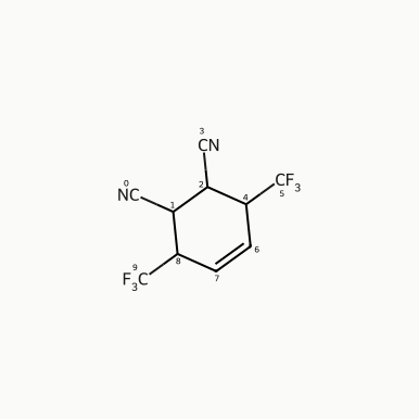 N#CC1C(C#N)C(C(F)(F)F)C=CC1C(F)(F)F